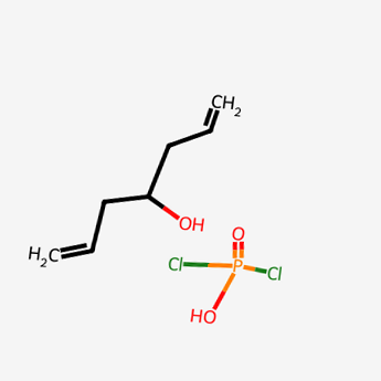 C=CCC(O)CC=C.O=P(O)(Cl)Cl